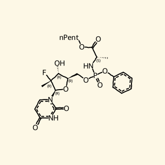 CCCCCOC(=O)[C@H](C)NP(=O)(OC[C@H]1O[C@@H](n2ccc(=O)[nH]c2=O)[C@](C)(F)[C@@H]1O)Oc1ccccc1